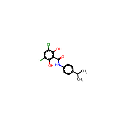 CC(C)c1ccc(NC(=O)c2c(O)c(Cl)cc(Cl)c2O)cc1